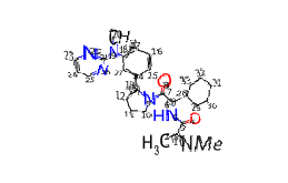 CN[C@@H](C)C(=O)N[C@H](C(=O)N1CCC[C@H]1c1cccc(N(C)c2ncccn2)c1)C1CCCCC1